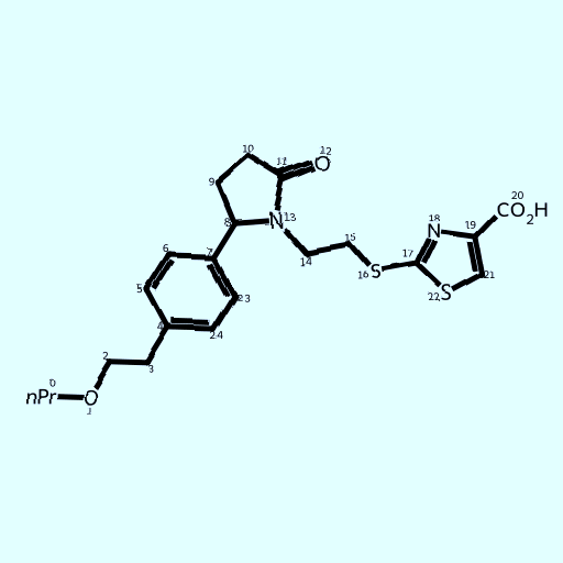 CCCOCCc1ccc(C2CCC(=O)N2CCSc2nc(C(=O)O)cs2)cc1